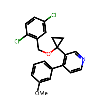 COc1cccc(-c2ccncc2C2(OCc3cc(Cl)ccc3Cl)CC2)c1